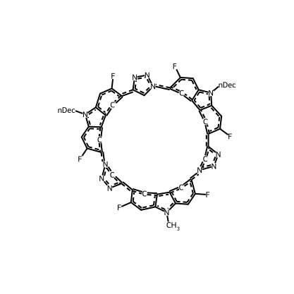 CCCCCCCCCCn1c2cc(F)c3cc2c2cc(c(F)cc21)n1cc(nn1)c1cc2c4cc(c(F)cc4n(CCCCCCCCCC)c2cc1F)n1cc(nn1)c1cc2c4cc(c(F)cc4n(C)c2cc1F)n1cc3nn1